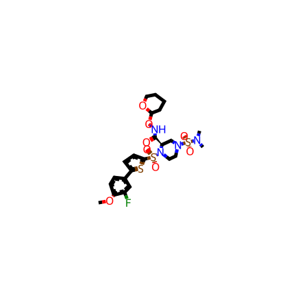 COc1ccc(-c2ccc(S(=O)(=O)N3CCN(S(=O)(=O)N(C)C)C[C@@H]3C(=O)NOC3CCCCO3)s2)cc1F